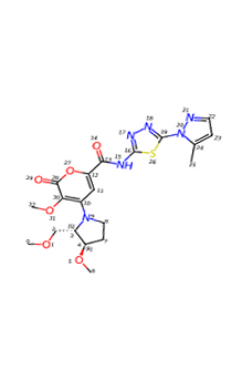 COC[C@H]1[C@H](OC)CCN1c1cc(C(=O)Nc2nnc(-n3nccc3C)s2)oc(=O)c1OC